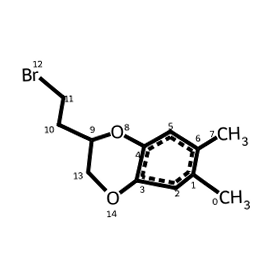 Cc1cc2c(cc1C)OC(CCBr)CO2